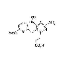 CCCCNc1nc(N)nc(CCC(=O)O)c1Cc1cccc(OC)c1